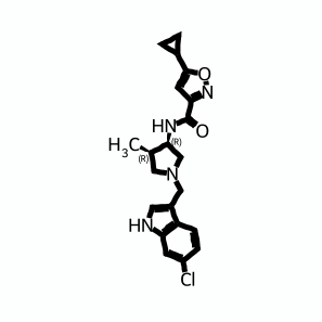 C[C@@H]1CN(Cc2c[nH]c3cc(Cl)ccc23)C[C@@H]1NC(=O)c1cc(C2CC2)on1